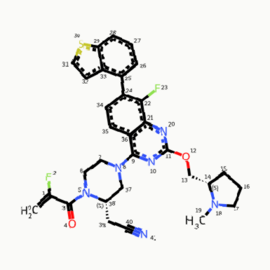 C=C(F)C(=O)N1CCN(c2nc(OC[C@@H]3CCCN3C)nc3c(F)c(-c4cccc5sccc45)ccc23)C[C@@H]1CC#N